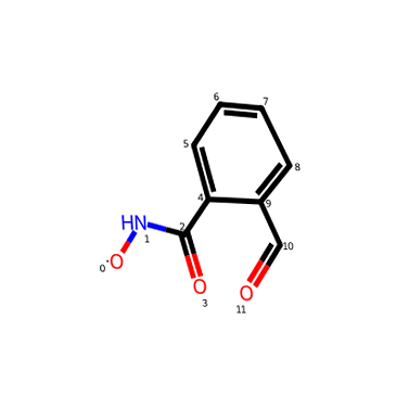 [O]NC(=O)c1ccccc1C=O